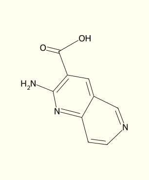 Nc1nc2ccncc2cc1C(=O)O